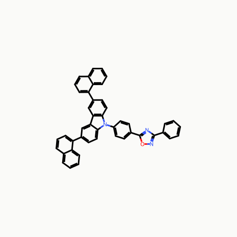 c1ccc(-c2noc(-c3ccc(-n4c5ccc(-c6cccc7ccccc67)cc5c5cc(-c6cccc7ccccc67)ccc54)cc3)n2)cc1